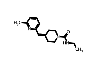 CCNC(=O)N1CCC(=Cc2cccc(C)n2)CC1